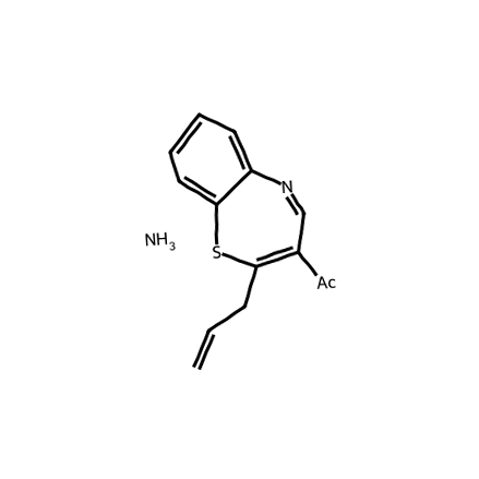 C=CCC1=C(C(C)=O)C=Nc2ccccc2S1.N